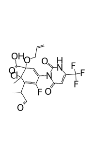 C=CCOC1(C(=O)O)C=C(n2c(=O)cc(C(F)(F)F)[nH]c2=O)C(F)=C(C(C)C=O)C1(C)Cl